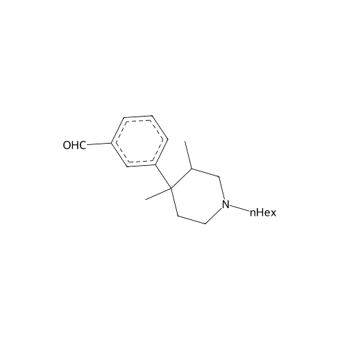 CCCCCCN1CCC(C)(c2cccc(C=O)c2)C(C)C1